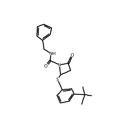 CC(C)(C)c1cccc(SC2CC(=O)N2C(=O)NCc2ccccc2)c1